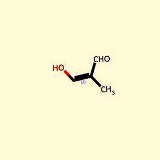 C/C(C=O)=C/O